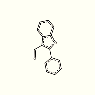 O=Cc1c(-c2ccccc2)oc2ccccc12